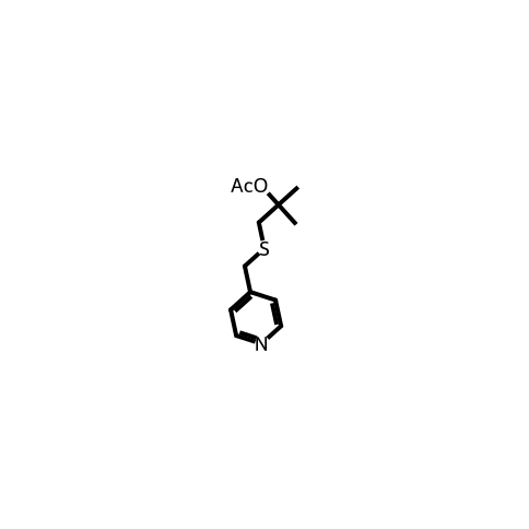 CC(=O)OC(C)(C)CSCc1ccncc1